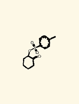 Cc1ccc(S(=O)(=O)OC2CCCCC2=O)cc1